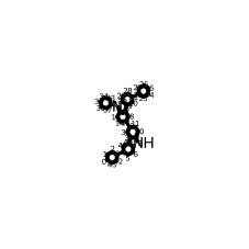 c1ccc(-c2ccc3[nH]c4ccc(-c5ccc6c(c5)c5cc(-c7ccccc7)ccc5n6-c5ccccc5)cc4c3c2)cc1